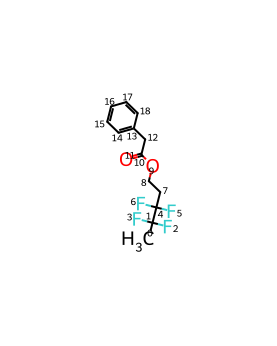 CC(F)(F)C(F)(F)CCOC(=O)Cc1ccccc1